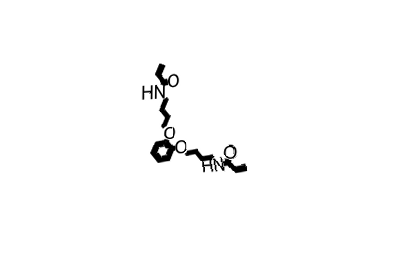 C=CC(=O)NCCCCOc1ccccc1OCCCCNC(=O)C=C